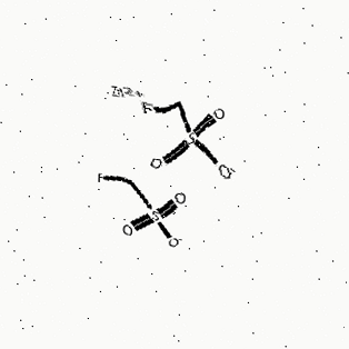 O=S(=O)([O-])CF.O=S(=O)([O-])CF.[Zn+2]